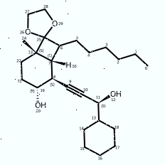 CCCCCCC1[C@@H]2[C@@H](C#C[C@@H](O)C3CCCCC3)[C@H](O)CC[C@]2(C)C12OCCO2